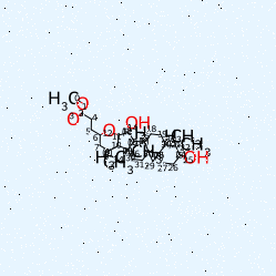 COC(=O)CCC1C[C@@H](C)C2C(O1)[C@H](O)[C@@]1(C)[C@@H]3CC[C@H]4C(C)(C)[C@@H](O)CC[C@@]45CC35CC[C@]21C